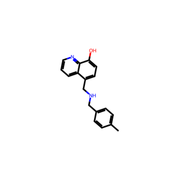 Cc1ccc(CNCc2ccc(O)c3ncccc23)cc1